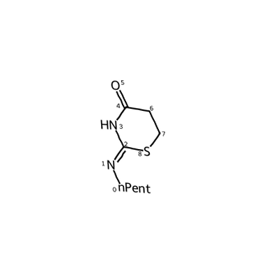 CCCCC/N=C1/NC(=O)CCS1